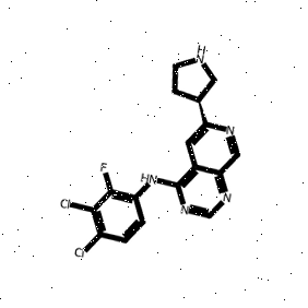 Fc1c(Nc2ncnc3cnc([C@H]4CCNC4)cc23)ccc(Cl)c1Cl